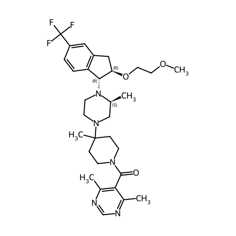 COCCO[C@@H]1Cc2cc(C(F)(F)F)ccc2[C@H]1N1CCN(C2(C)CCN(C(=O)c3c(C)ncnc3C)CC2)C[C@@H]1C